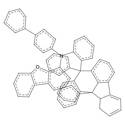 C1=CCC2C(=C1)c1cccc3c1C2(c1ccccc1)c1ccccc1C3(c1ccccc1)c1ccccc1N(c1ccc(-c2ccccc2)cc1)c1cccc2c1oc1ccccc12